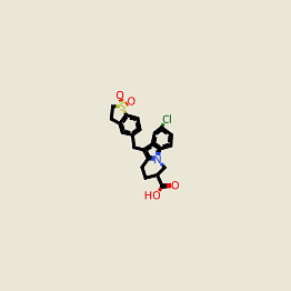 O=C(O)C1CCc2c(Cc3ccc4c(c3)CCS4(=O)=O)c3cc(Cl)ccc3n2C1